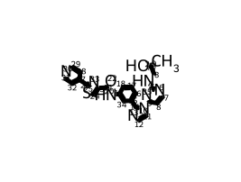 C[C@H](O)CNc1nccc(-n2ccnc2-c2cccc(NC(=O)c3csc(-c4ccncc4)n3)c2)n1